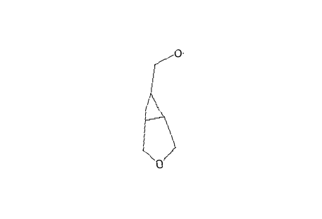 [O]CC1C2COCC12